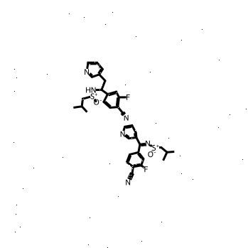 CC(C)C[S+]([O-])N=C(c1cccnc1)c1ccc(C#N)c(F)c1.CC(C)C[S+]([O-])NC(Cc1cccnc1)c1ccc(C#N)c(F)c1